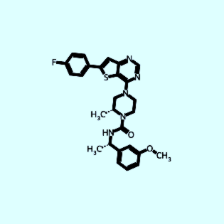 COc1cccc([C@H](C)NC(=O)N2CCN(c3ncnc4cc(-c5ccc(F)cc5)sc34)C[C@H]2C)c1